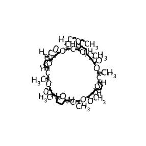 CCOCC.C[C@@H]1C[C@H]2CC[C@H](O2)[C@H](C)C(=O)O[C@@H](C)C[C@@H]2CC[C@@H](O2)[C@@H](C)C(=O)O[C@H](C)C[C@H]2CC[C@H](O2)[C@H](C)C(=O)O[C@@H](C)C[C@@H]2CC[C@@H](O2)[C@@H](C)C(=O)O1